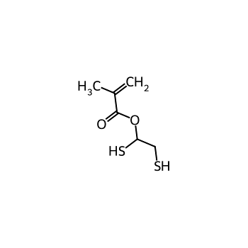 C=C(C)C(=O)OC(S)CS